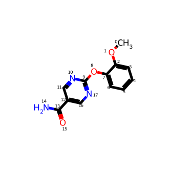 COc1ccccc1Oc1ncc(C(N)=O)cn1